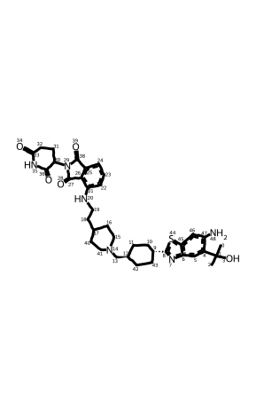 CC(C)(O)c1cc2nc([C@H]3CC[C@H](CN4CCC(CCNc5cccc6c5C(=O)N(C5CCC(=O)NC5=O)C6=O)CC4)CC3)sc2cc1N